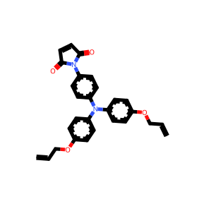 C=CCOc1ccc(N(c2ccc(OCC=C)cc2)c2ccc(N3C(=O)C=CC3=O)cc2)cc1